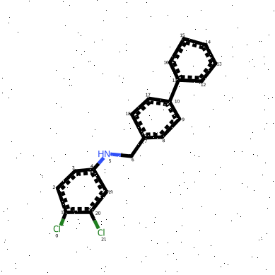 Clc1ccc(NCc2ccc(-c3ccccc3)cc2)cc1Cl